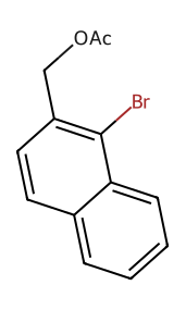 CC(=O)OCc1ccc2ccccc2c1Br